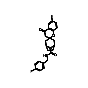 O=C1CC2(CC3CCC(C2)N3C(=O)NCc2ccc(F)cc2)Oc2ccc(F)cc21